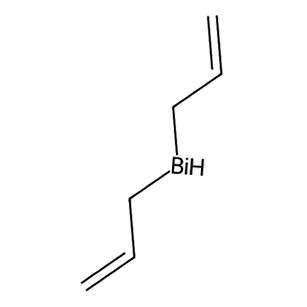 C=C[CH2][BiH][CH2]C=C